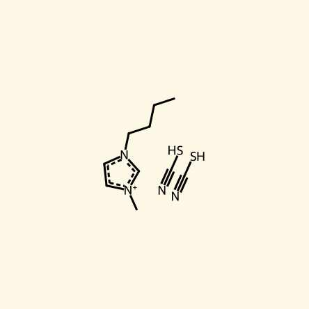 CCCCn1cc[n+](C)c1.N#CS.N#CS